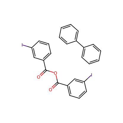 O=C(OC(=O)c1cccc(I)c1)c1cccc(I)c1.c1ccc(-c2ccccc2)cc1